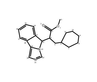 COC(=O)C(CC1CCCCC1)C1c2ccccc2-c2cncn21